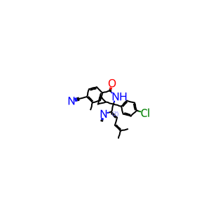 C=N/C(=C\C=C(C)C)C(NC(=O)c1ccc(C#N)c(C)c1)(c1ccc(Cl)cc1)C1CC1